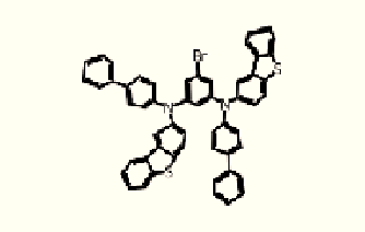 Brc1cc(N(c2ccc(-c3ccccc3)cc2)c2ccc3sc4ccccc4c3c2)cc(N(c2ccc(-c3ccccc3)cc2)c2ccc3sc4ccccc4c3c2)c1